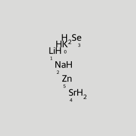 [KH].[LiH].[NaH].[SeH2].[SrH2].[Zn]